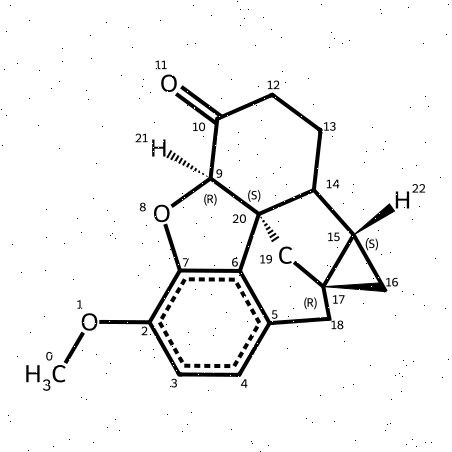 COc1ccc2c3c1O[C@H]1C(=O)CCC4[C@@H]5C[C@@]5(C2)C[C@@]341